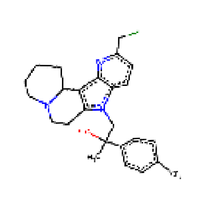 CC(O)(Cn1c2c(c3nc(CF)ccc31)C1CCCCN1CC2)c1ccc(C(F)(F)F)cc1